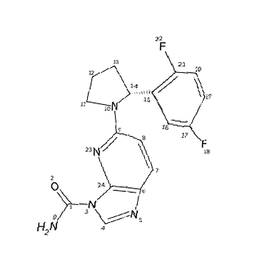 NC(=O)n1cnc2ccc(N3CCC[C@@H]3c3cc(F)ccc3F)nc21